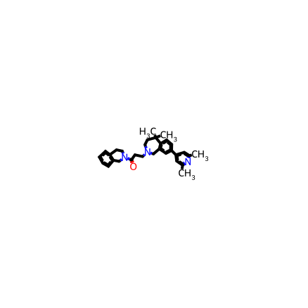 Cc1cc(-c2ccc3c(c2)CN(CCC(=O)N2CCc4ccccc4C2)CCC3(C)C)cc(C)n1